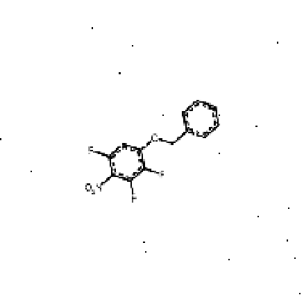 O=[N+]([O-])c1c(F)cc(OCc2ccccc2)c(F)c1F